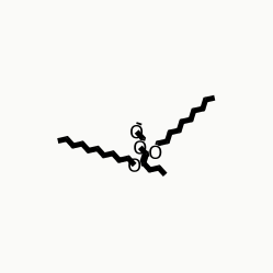 CCCCCCCCCCOC(CCC)=C(OCCCCCCCCCC)OCOC